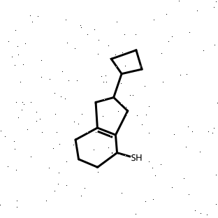 SC1CCCC2=C1CC(C1CCC1)C2